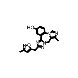 Cc1cc(Cc2nc3n(n2)Cc2c(C)ncn2-c2ccc(O)cc2-3)on1